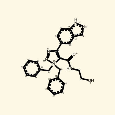 O=C(NCCO)C1=C(c2ccc3[nH]ncc3c2)N=N[N+]1(Cc1ccccc1)Cc1ccccc1